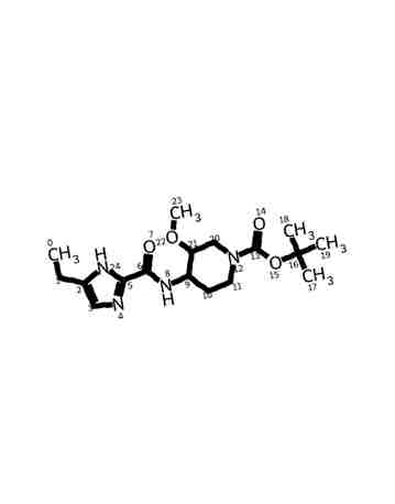 CCc1cnc(C(=O)NC2CCN(C(=O)OC(C)(C)C)CC2OC)[nH]1